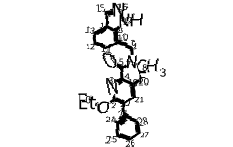 CCOc1nc(C(=O)N(C)Cc2cccc3cn[nH]c23)c(F)cc1-c1ccccc1